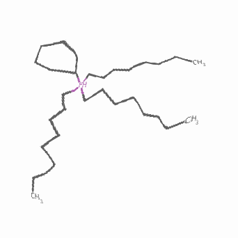 CCCCCCCC[PH](CCCCCCCC)(CCCCCCCC)C1CCCCC1